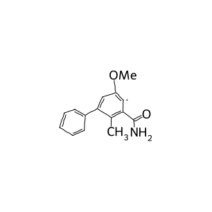 COc1[c]c(C(N)=O)c(C)c(-c2ccccc2)c1